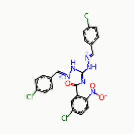 O=C(N=C(N/N=C/c1ccc(Cl)cc1)N/N=C/c1ccc(Cl)cc1)c1cc(Cl)ccc1[N+](=O)[O-]